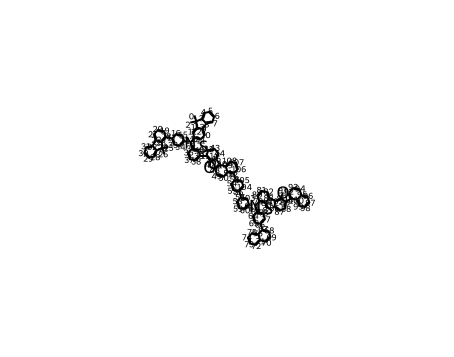 CC1(C)c2ccccc2-c2ccc(N(c3ccc(-c4cccc5c4C(C)(C)c4ccccc4-5)cc3)c3cccc4c3sc3ccc5c(oc6ccc7c(-c8ccc(-c9cccc(N(c%10ccc(-c%11cccc%12ccccc%11%12)cc%10)c%10cccc%11c%10sc%10ccc%12c(oc%13ccc%14ccccc%14c%13%12)c%10%11)c9)cc8)cccc7c65)c34)cc21